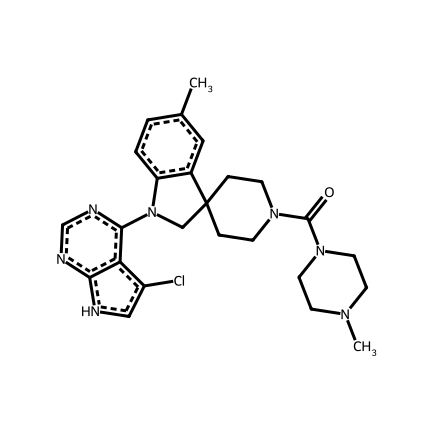 Cc1ccc2c(c1)C1(CCN(C(=O)N3CCN(C)CC3)CC1)CN2c1ncnc2[nH]cc(Cl)c12